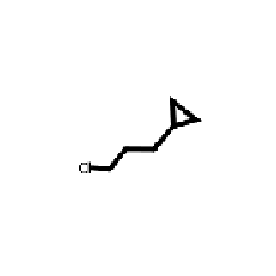 Cl[CH]CCC1CC1